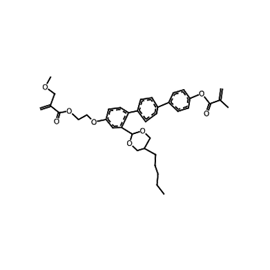 C=C(C)C(=O)Oc1ccc(-c2ccc(-c3ccc(OCCOC(=O)C(=C)COC)cc3C3OCC(CCCCC)CO3)cc2)cc1